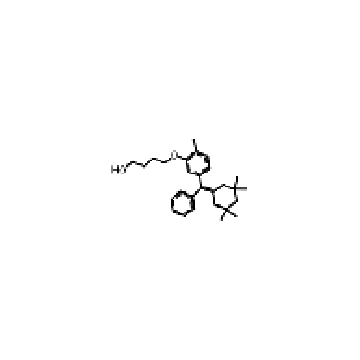 Cc1ccc(C(=C2CC(C)(C)CC(C)(C)C2)c2ccccc2)cc1OCCCCO